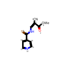 COC(=O)C(C#N)=CNC(=S)c1ccncc1